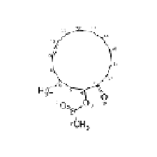 CC(=O)OC1CC(C)CC=CCCCCCCCC1=O